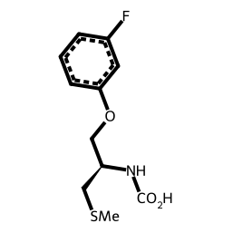 CSC[C@@H](COc1cccc(F)c1)NC(=O)O